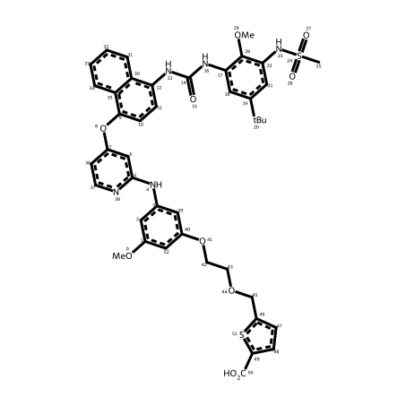 COc1cc(Nc2cc(Oc3ccc(NC(=O)Nc4cc(C(C)(C)C)cc(NS(C)(=O)=O)c4OC)c4ccccc34)ccn2)cc(OCCOCc2ccc(C(=O)O)s2)c1